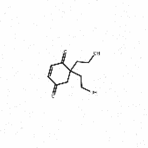 O=C1C=CC(=O)C(CCO)(CCO)C1